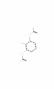 CCc1c(NC(=O)C(C)(C)C)cccc1NC(=O)C(C)(C)C